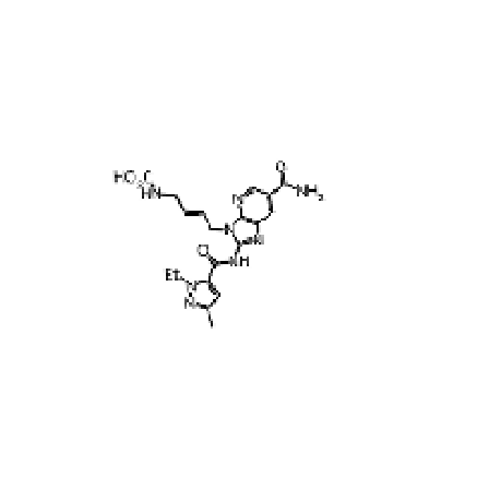 CCn1nc(C)cc1C(=O)Nc1nc2cc(C(N)=O)cnc2n1C/C=C/CNC(=O)O